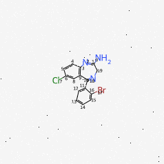 NC1=Nc2ccc(Cl)cc2C(c2ccccc2Br)=NC1